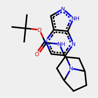 CC(C)(C)OC(=O)NC1CC2CCC(C1)N2c1cnc2cn[nH]c2n1